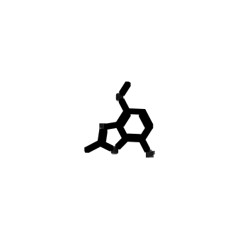 COc1ccc(Br)c2oc(C)nc12